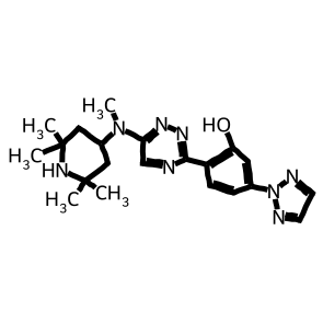 CN(c1cnc(-c2ccc(-n3nccn3)cc2O)nn1)C1CC(C)(C)NC(C)(C)C1